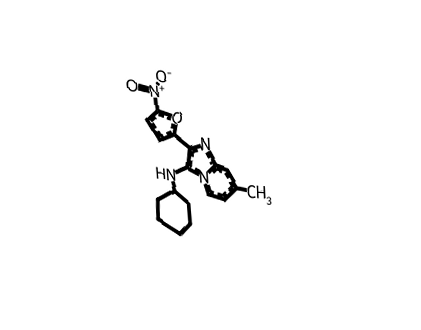 Cc1ccn2c(NC3CCCCC3)c(-c3ccc([N+](=O)[O-])o3)nc2c1